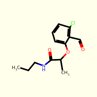 CCCNC(=O)C(C)Oc1cccc(Cl)c1C=O